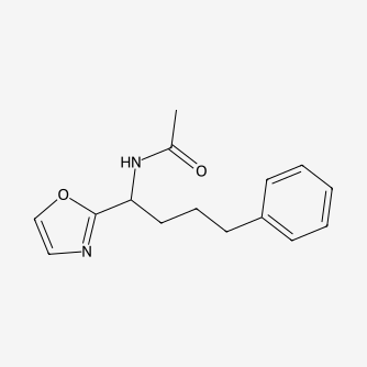 CC(=O)NC(CCCc1ccccc1)c1ncco1